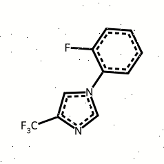 Fc1c[c]ccc1-n1cnc(C(F)(F)F)c1